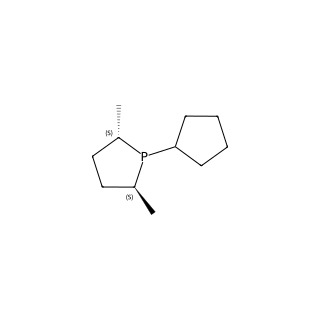 C[C@H]1CC[C@H](C)P1C1CCCC1